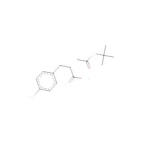 CC(C)(C)OC(=O)C[C@@H](Cc1ccc(Br)cc1)C(=O)O